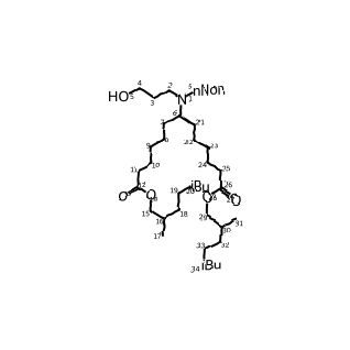 CCCCCCCCCN(CCCO)C(CCCCCC(=O)OCC(C)CCC(C)CC)CCCCCC(=O)OCC(C)CCC(C)CC